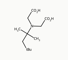 CC(C)(C)CC(C)(C)N(CC(=O)O)CC(=O)O